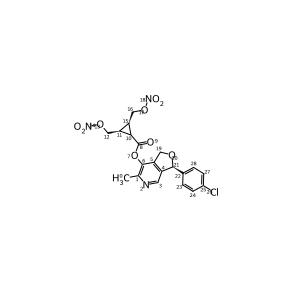 Cc1ncc2c(c1OC(=O)C1[C@@H](CO[N+](=O)[O-])[C@H]1CO[N+](=O)[O-])CO[C@H]2c1ccc(Cl)cc1